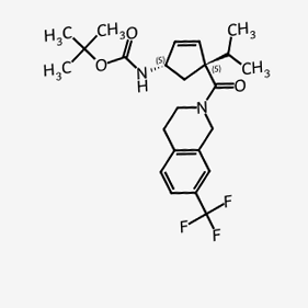 CC(C)[C@]1(C(=O)N2CCc3ccc(C(F)(F)F)cc3C2)C=C[C@@H](NC(=O)OC(C)(C)C)C1